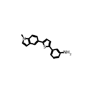 Cn1ccc2cc(-c3ccc(-c4cccc(N)c4)s3)ccc21